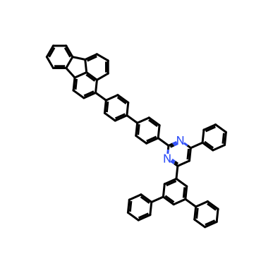 c1ccc(-c2cc(-c3ccccc3)cc(-c3cc(-c4ccccc4)nc(-c4ccc(-c5ccc(-c6ccc7c8c(cccc68)-c6ccccc6-7)cc5)cc4)n3)c2)cc1